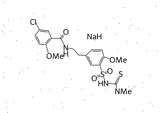 CNC(=S)NS(=O)(=O)c1cc(CCNC(=O)c2cc(Cl)ccc2OC)ccc1OC.[NaH]